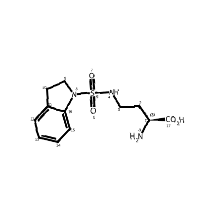 N[C@@H](CCNS(=O)(=O)N1CCc2ccccc21)C(=O)O